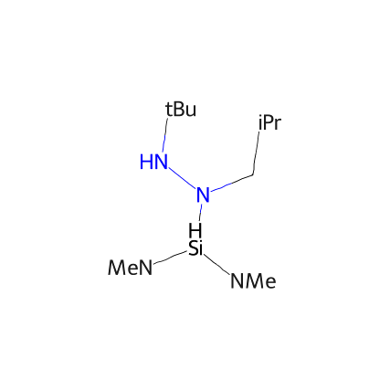 CN[SiH](NC)N(CC(C)C)NC(C)(C)C